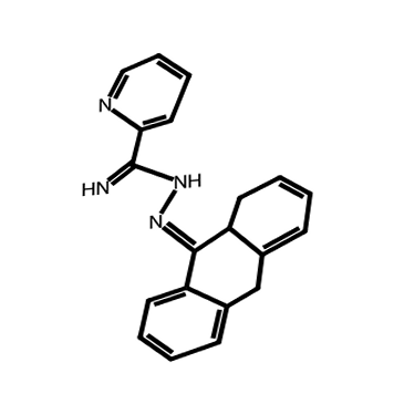 N=C(NN=C1c2ccccc2CC2=CC=CCC21)c1ccccn1